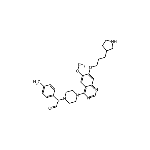 COc1cc2c(N3CCN(N(C=O)c4ccc(C)cc4)CC3)ncnc2cc1OCCCC1CCNC1